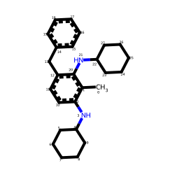 Cc1c(NC2CCCCC2)ccc(Cc2ccccc2)c1NC1CCCCC1